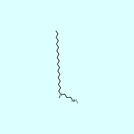 CCCCCCCCCCCCCCCCCCCN(C)CCCN